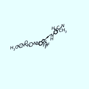 CN1CCN(C(=O)CN2CCC(NCc3ccc4c(c3)cc(C#CCNc3ccc(C(C)(C)C#N)nc3)n4CC(F)(F)F)CC2)CC1